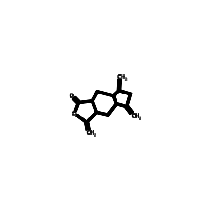 C=C1CC(=C)C2CC3C(=O)OC(=C)C3CC12